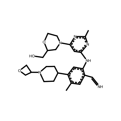 Cc1nc(Nc2cc(C3CCN(C4COC4)CC3)c(C)cc2C=N)cc(N2CCOC(CO)C2)n1